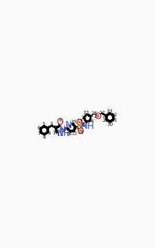 O=c1c(Cc2ccccc2)c[nH]n1-c1ccc(S(=O)(=O)N[C@@H]2CC[C@H](COCc3ccccc3)C2)cn1